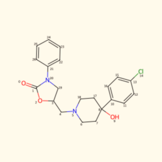 O=C1OC(CN2CCC(O)(c3ccc(Cl)cc3)CC2)CN1c1ccccc1